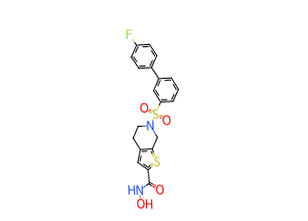 O=C(NO)c1cc2c(s1)CN(S(=O)(=O)c1cccc(-c3ccc(F)cc3)c1)CC2